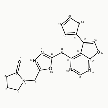 O=C1CCCN1Cc1nnc(Sc2ncnc3occ(-c4cccs4)c23)o1